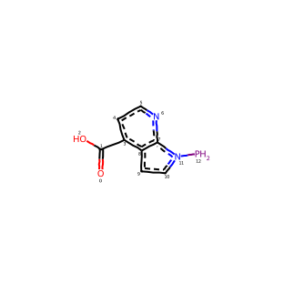 O=C(O)c1ccnc2c1ccn2P